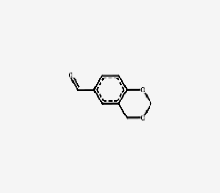 O=Cc1ccc2c(c1)COCO2